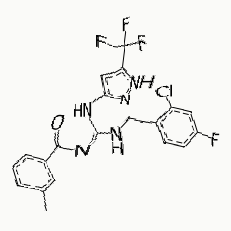 Cc1cccc(C(=O)/N=C(/NCc2ccc(F)cc2Cl)Nc2cc(C(F)(F)F)[nH]n2)c1